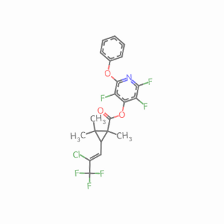 CC1(C)C(C=C(Cl)C(F)(F)F)C1(C)C(=O)Oc1c(F)c(F)nc(Oc2ccccc2)c1F